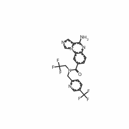 Nc1nc2ccc(C(=O)N(Cc3ccc(C(F)(F)F)cn3)CC(F)(F)F)cc2n2cncc12